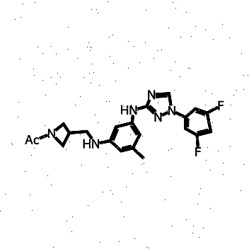 CC(=O)N1CC(CNc2cc(C)cc(Nc3ncn(-c4cc(F)cc(F)c4)n3)c2)C1